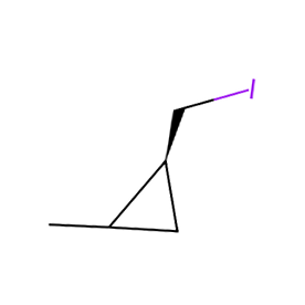 CC1C[C@@H]1CI